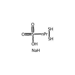 CCCS(=O)(=O)O.SS.[NaH]